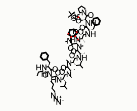 CCC(=O)N[C@@H](Cc1ccccc1)C(=O)N[C@@H](CCCCN=[N+]=[N-])C(=O)N[C@@H](CC(C)C)C(=O)N(C)[C@@H](C)C(=O)N(C)[C@@H](CC(C)C)C(=O)N[C@@H](C)C(=O)N(C)[C@@H](Cc1ccccc1)C(=O)N(C)[C@@H](C)C(=O)N[C@@H](C)C(=O)N[C@@H](Cc1ccccc1)C(=O)N[C@@H](CSSC(C)(C)C)C(=O)N1CCC[C@H]1C(=O)OC